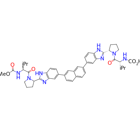 COC(=O)N[C@H](C(=O)N1CCCC1c1nc2cc(-c3ccc4ccc(-c5ccc6[nH]c([C@@H]7CCCN7C(=O)[C@H](NC(=O)O)C(C)C)nc6c5)cc4c3)ccc2[nH]1)C(C)C